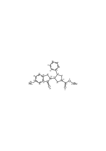 CC(C)(C)OC(=O)N1CC(c2ccccc2)C(N2Cc3ccc(C#N)cc3C2=O)C1